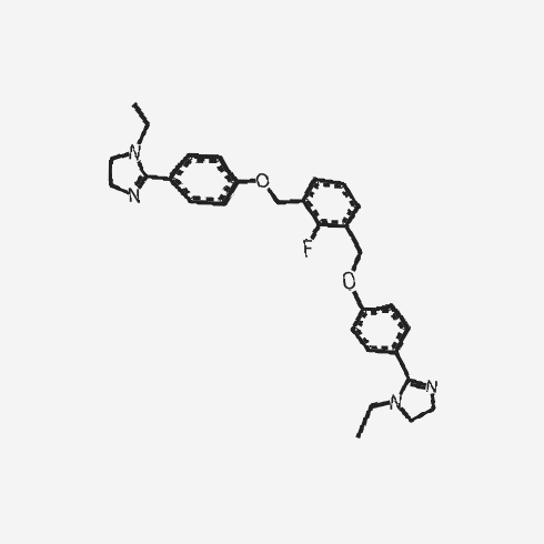 CCN1CCN=C1c1ccc(OCc2cccc(COc3ccc(C4=NCCN4CC)cc3)c2F)cc1